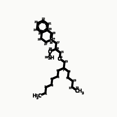 CCCCCCCC(CCCCC)COCC(C[N+]1=Cc2ccccc2CC1)OS